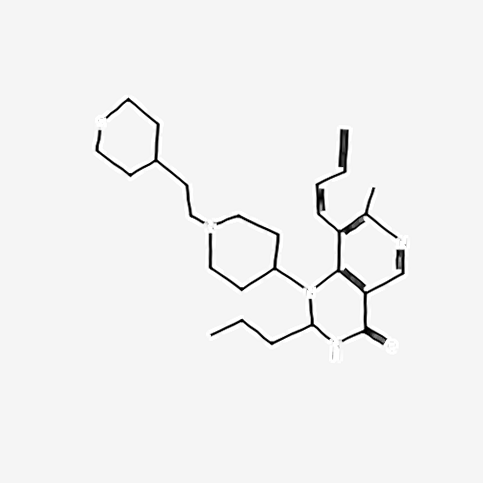 C=C/C=C\c1c(C)ncc2c1N(C1CCN(CCC3CCSCC3)CC1)C(CCC)NC2=O